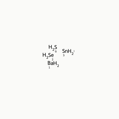 S.[BaH2].[SeH2].[SnH2]